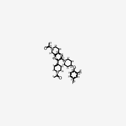 CC(=O)N1CC=C(c2nc3c(nc2N2CCC(Oc4ccc(F)cc4F)CC2)CCN(C(C)=O)C3)CC1